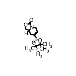 CC1(C)OB(C2=CCN3C(=O)OC[C@H]3C2)OC1(C)C